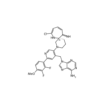 COc1ccc(-c2cc(Cn3cnc4c(N)ncnc43)c(N3CCC[C@]4(C3)NC(Cl)=CC=CC4=N)cn2)c(F)c1F